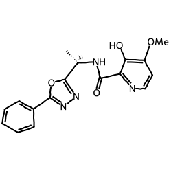 COc1ccnc(C(=O)N[C@@H](C)c2nnc(-c3ccccc3)o2)c1O